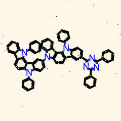 c1ccc(-c2nc(-c3ccccc3)nc(-c3ccc4c(c3)c3ccc5c(c6ccccc6n5-c5ccc6c(c5)c5c(ccc7c8ccccc8n(-c8ccccc8)c75)n6-c5ccccc5)c3n4-c3ccccc3)n2)cc1